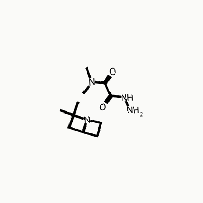 CC1(C)CC2CCN21.CN(C)C(=O)C(=O)NN